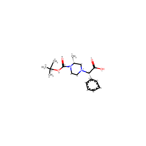 C[C@@H]1CN([C@H](C(=O)O)c2ccccc2)CCN1C(=O)OC(C)(C)C